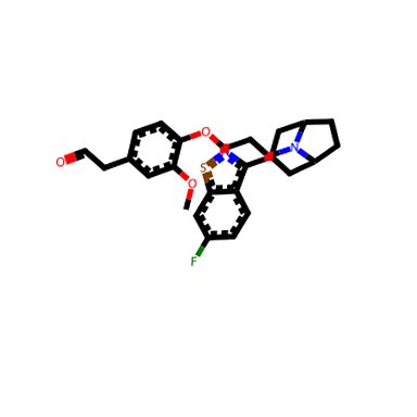 COc1cc(CC=O)ccc1OCCCN1C2CCC1CC(c1nsc3cc(F)ccc13)C2